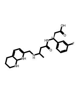 CC(CC(=O)N[C@@H](CC(=O)O)c1cccc(F)c1)NCC1=CC=C2CCCNC2N1